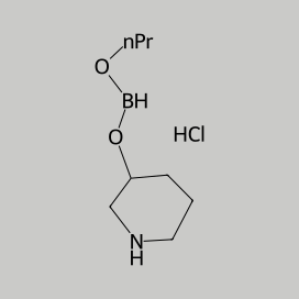 CCCOBOC1CCCNC1.Cl